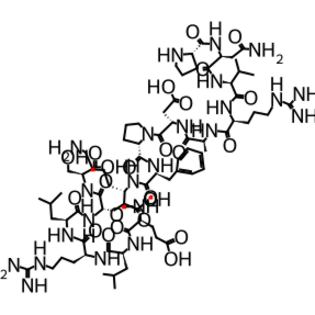 CC(C)C[C@H](NC(=O)[C@H](CCCNC(=N)N)NC(=O)[C@H](CC(C)C)NC(=O)[C@H](CCC(=O)O)NC(=O)[C@H](CCCCN)NC(=O)[C@H](Cc1ccccc1)NC(=O)[C@@H]1CCCN1C(=O)[C@H](CC(=O)O)NC(=O)[C@H](C)NC(=O)[C@H](CCCNC(=N)N)NC(=O)[C@@H](NC(=O)[C@H](CC(N)=O)NC(=O)[C@@H]1CCCN1)C(C)C)C(=O)N[C@@H](CCC(=O)O)C(=O)N[C@@H](CO)C(=O)O